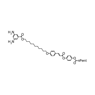 CCCCCC(=O)Oc1ccc(OC(=O)C=Cc2ccc(OCCCCCCCCCCCOC(=O)c3cc(N)cc(N)c3)cc2)cc1